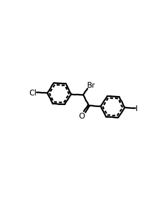 O=C(c1ccc(I)cc1)C(Br)c1ccc(Cl)cc1